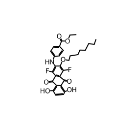 CCCCCCCCOc1c(F)c2c(c(F)c1Nc1ccc(C(=O)OCC)cc1)C(=O)c1c(O)ccc(O)c1C2=O